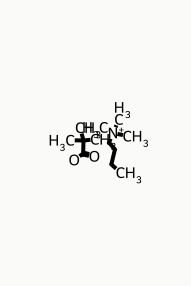 CC(C)(C)C(=O)[O-].CCCC[N+](C)(C)C